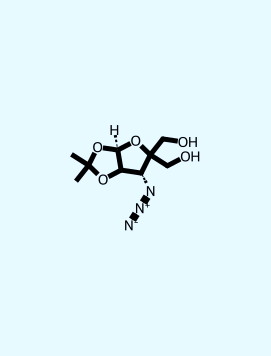 CC1(C)OC2[C@@H](O1)OC(CO)(CO)[C@@H]2N=[N+]=[N-]